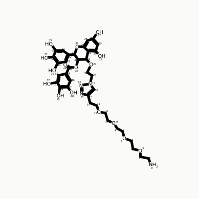 NCCOCCOCCOCCOCCc1cn(CCOC2c3c(O)cc(O)cc3OC(c3cc(O)c(O)c(O)c3)C2OC(=O)c2cc(O)c(O)c(O)c2)nn1